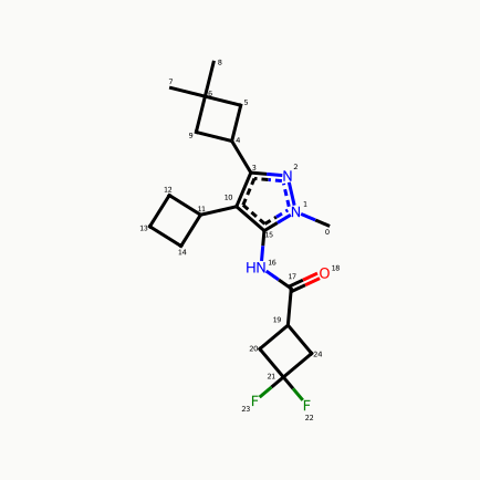 Cn1nc(C2CC(C)(C)C2)c(C2CCC2)c1NC(=O)C1CC(F)(F)C1